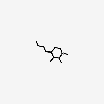 CCCCC1CCN(C)C(C)C1C